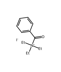 CC[N+](CC)(CC)C(=O)c1ccccc1.[I-]